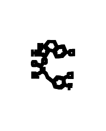 CCN(CCc1ccc(F)c(Cl)c1)C(=O)Oc1[nH]nc2c1-c1ccc(Cl)cc1CC2